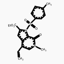 C=Cc1cn(C)c(=O)c2c1cc(C(=O)OCC)n2S(=O)(=O)c1ccc(C)cc1